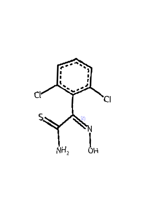 NC(=S)/C(=N\O)c1c(Cl)cccc1Cl